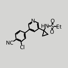 CCS(=O)(=O)NC1(c2cncc(-c3ccc(C#N)c(Cl)c3)c2)CC1